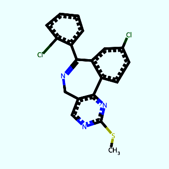 CSc1ncc2c(n1)-c1ccc(Cl)cc1C(c1ccccc1Cl)=NC2